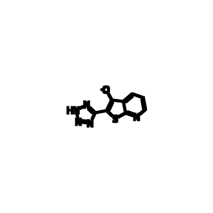 [O]c1c(-c2nn[nH]n2)sc2ncccc12